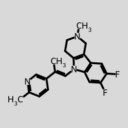 CC(=Cn1c2c(c3cc(F)c(F)cc31)CN(C)CC2)c1ccc(C)nc1